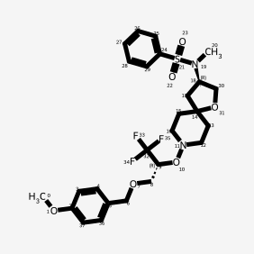 COc1ccc(COC[C@@H](ON2CCC3(CC2)C[C@@H](N(C)S(=O)(=O)c2ccccc2)CO3)C(F)(F)F)cc1